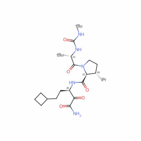 CC(C)[C@H]1CCN(C(=O)[C@@H](NC(=O)NC(C)(C)C)C(C)(C)C)[C@@H]1C(=O)N[C@H](CCC1CCC1)C(=O)C(N)=O